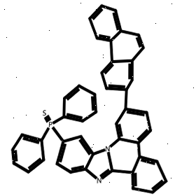 S=P(c1ccccc1)(c1ccccc1)c1ccc2nc3c4ccccc4c4ccc(-c5ccc6c(ccc7ccccc76)c5)cc4n3c2c1